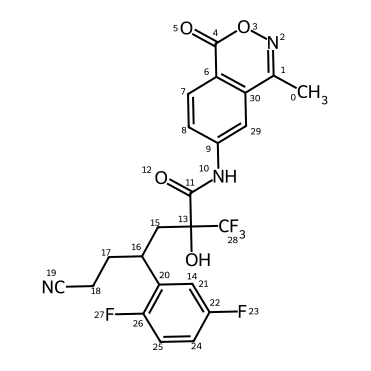 Cc1noc(=O)c2ccc(NC(=O)C(O)(CC(CCC#N)c3cc(F)ccc3F)C(F)(F)F)cc12